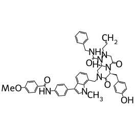 C=CCN1CC(=O)N2[C@@H](Cc3ccc(O)cc3)C(=O)N(Cc3cccc4c(-c5ccc(NC(=O)c6ccc(OC)cc6)cc5)cn(C)c34)C[C@@H]2N1C(=O)NCc1ccccc1